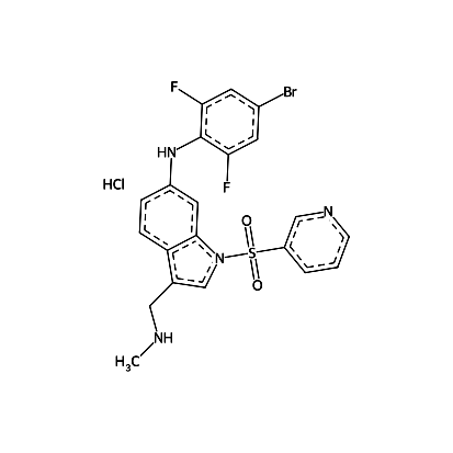 CNCc1cn(S(=O)(=O)c2cccnc2)c2cc(Nc3c(F)cc(Br)cc3F)ccc12.Cl